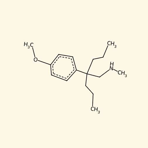 CCCC(CCC)(CNC)c1ccc(OC)cc1